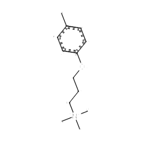 Cc1ccc(OCCC[N+](C)(C)C)cc1